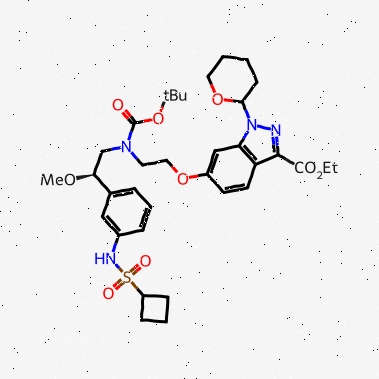 CCOC(=O)c1nn(C2CCCCO2)c2cc(OCCN(C[C@H](OC)c3cccc(NS(=O)(=O)C4CCC4)c3)C(=O)OC(C)(C)C)ccc12